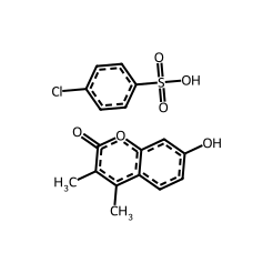 Cc1c(C)c2ccc(O)cc2oc1=O.O=S(=O)(O)c1ccc(Cl)cc1